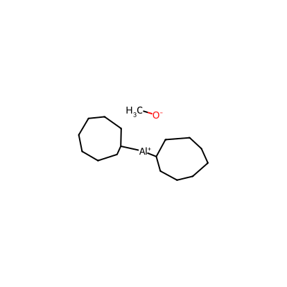 C1CCC[CH]([Al+][CH]2CCCCCCC2)CCC1.C[O-]